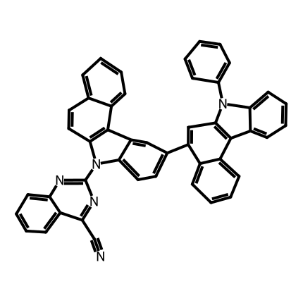 N#Cc1nc(-n2c3ccc(-c4cc5c(c6ccccc46)c4ccccc4n5-c4ccccc4)cc3c3c4ccccc4ccc32)nc2ccccc12